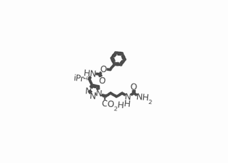 CC(C)[C@H](NC(=O)OCc1ccccc1)c1cn([C@@H](CCCNC(N)=O)C(=O)O)nn1